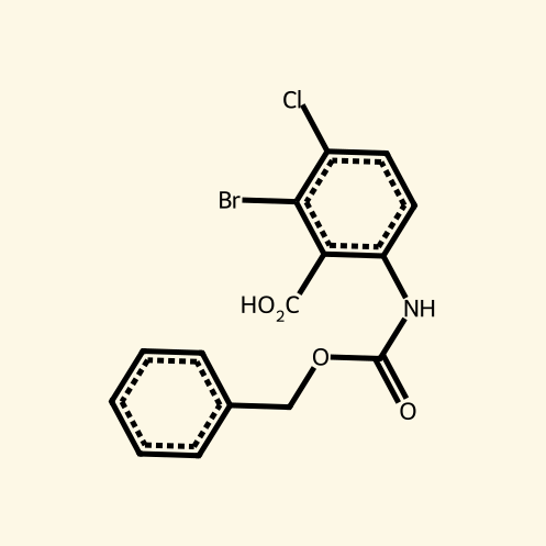 O=C(Nc1ccc(Cl)c(Br)c1C(=O)O)OCc1ccccc1